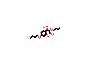 CCCCOc1c(O)c2ccc(OCCCCO)cc2oc1=O